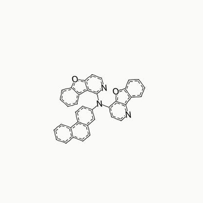 c1ccc2c(c1)ccc1cc(N(c3ccnc4c3oc3ccccc34)c3nccc4oc5ccccc5c34)ccc12